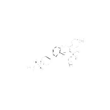 CC(C)(F)CC(Oc1ccc(C2=CCN(S(C)(=O)=O)CC2)cc1F)C1CCNCC1